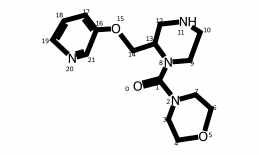 O=C(N1CCOCC1)N1CCNCC1COc1cccnc1